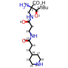 CCCCC(=O)C(N)(CNC(=O)CCNC(=O)CCC1CCNCC1)C(=O)O